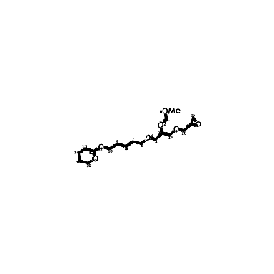 COCOC(COCCCCCOC1CCCCO1)COCC1CO1